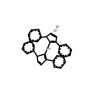 C1=CC(c2ccccc2)[C]([Zr+2][C]2=C(c3ccccc3)C=CC2c2ccccc2)=C1c1ccccc1.[Cl-].[Cl-]